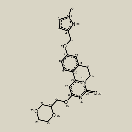 Cn1ccc(COc2ccc3c(c2)CCn2c-3cc(OCC3COCCO3)nc2=O)n1